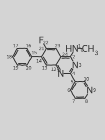 CNc1nc(-c2cccnc2)nc2cc(-c3ccccc3)c(F)cc12